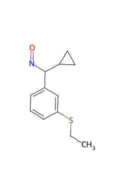 CCSc1cccc(C(N=O)C2CC2)c1